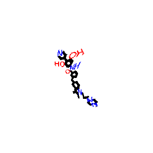 Cc1c(C)n(CCCN2CCN(C)CC2)c2ccc(Cc3cccc(C(=O)Nc4cc(O)c(-c5ccncc5)c(O)c4)c3)cc12